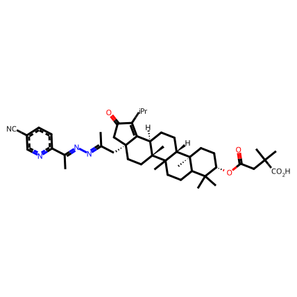 C/C(C[C@@]12CC[C@]3(C)[C@H](CC[C@H]4C3(C)CCC3C(C)(C)[C@@H](OC(=O)CC(C)(C)C(=O)O)CC[C@@]34C)C1=C(C(C)C)C(=O)C2)=N\N=C(/C)c1ccc(C#N)cn1